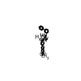 Cc1c(NC[C@H]2CCC[C@@H](c3ccccc3)C2)ncnc1C(=O)N1CCC(N2CC3CN(S(C)(=O)=O)CC3C2)CC1